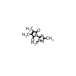 CC1=C(C)C(=O)N(c2nc(C)nn2C)C1=O